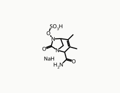 CC1=C(C)C2CN(C(=O)N2OS(=O)(=O)O)C1C(N)=O.[NaH]